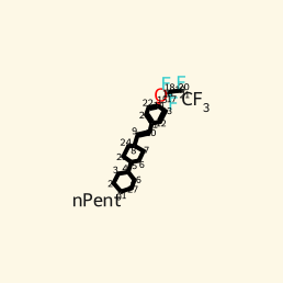 CCCCCC1CCC(C2CCC(/C=C/c3ccc(OC(F)(F)C(F)C(F)(F)F)cc3)CC2)CC1